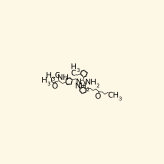 CCCCC(=O)CCCc1ccccc1C(N)C(c1ccccc1CC)N(N)Cc1ccc(CC(NC)C(C)=O)cc1